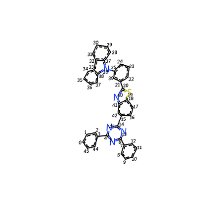 c1ccc(-c2nc(-c3ccccc3)nc(-c3ccc4sc(-c5cccc(-n6c7ccccc7c7ccccc76)c5)nc4c3)n2)cc1